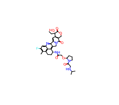 CC[C@@]1(O)C(=O)OCc2c1cc1n(c2=O)Cc2c-1nc1cc(F)c(C)c3c1c2[C@@H](NC(=O)COC1CCCN1C(=O)CNC(C)C)CC3